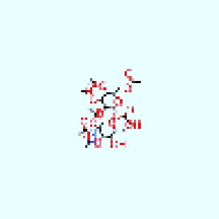 CC(=O)N[C@]1(OC(C)=O)[C@H](O[C@@H]2[C@@H](OC(C)=O)O[C@H](COC(C)=O)[C@@H](OC(C)=O)[C@@H]2OC(C)=O)O[C@H](CO)[C@@H](O)[C@@H]1OC(C)=O